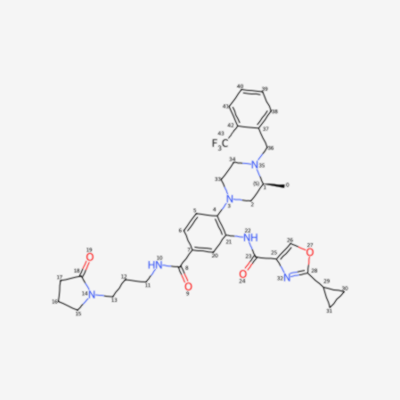 C[C@H]1CN(c2ccc(C(=O)NCCCN3CCCC3=O)cc2NC(=O)c2coc(C3CC3)n2)CCN1Cc1ccccc1C(F)(F)F